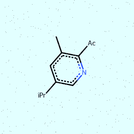 CC(=O)c1ncc(C(C)C)cc1C